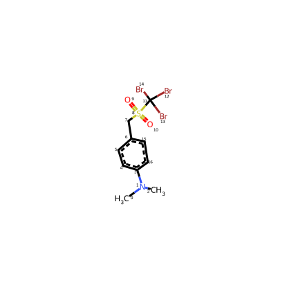 CN(C)c1ccc(CS(=O)(=O)C(Br)(Br)Br)cc1